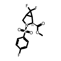 COC(=O)[C@@H]1C2C(CN1S(=O)(=O)c1ccc(F)cc1)C2(F)F